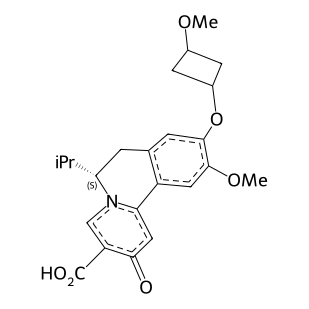 COc1cc2c(cc1OC1CC(OC)C1)C[C@@H](C(C)C)n1cc(C(=O)O)c(=O)cc1-2